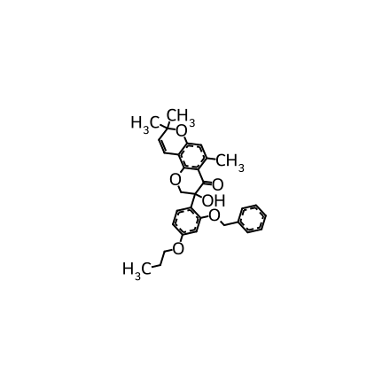 CCCOc1ccc(C2(O)COc3c4c(cc(C)c3C2=O)OC(C)(C)C=C4)c(OCc2ccccc2)c1